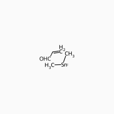 C=CC=O.[CH3][Sn][CH3]